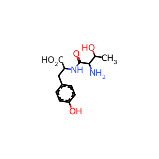 CC(O)C(N)C(=O)NC(Cc1ccc(O)cc1)C(=O)O